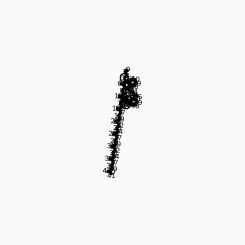 C=CCOc1c(C)c(C/C=C(\C)C(C/C=C(\C)CC/C=C(\C)CC/C=C(\C)CC/C=C(\C)CC/C=C(\C)CCC=C(C)C)S(=O)(=O)c2ccccc2)c(OCC=C)c2ccccc12